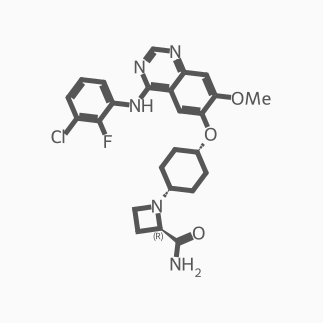 COc1cc2ncnc(Nc3cccc(Cl)c3F)c2cc1O[C@H]1CC[C@@H](N2CC[C@@H]2C(N)=O)CC1